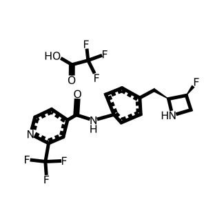 O=C(Nc1ccc(C[C@@H]2NC[C@@H]2F)cc1)c1ccnc(C(F)(F)F)c1.O=C(O)C(F)(F)F